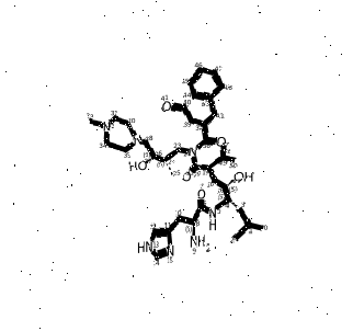 CC(C)C[C@H](NC(=O)[C@@H](N)Cc1c[nH]cn1)[C@@H](O)CC(C(=O)N(C[C@H](C)[C@H](O)CN1CCN(C)CC1)C(=O)C(C[C]=O)Cc1ccccc1)C(C)C